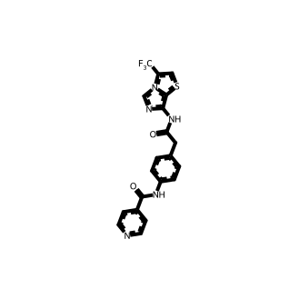 O=C(Cc1ccc(NC(=O)c2ccncc2)cc1)Nc1ncn2c(C(F)(F)F)csc12